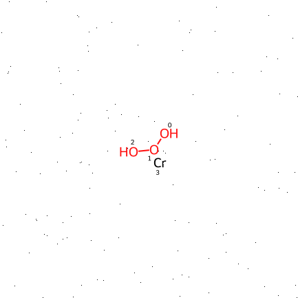 OOO.[Cr]